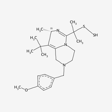 COc1ccc(CN2CCN3C(C(C)(C)SS)=N[C@@H](C)C(C(C)(C)C)=C3C2)cc1